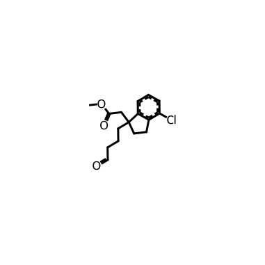 COC(=O)CC1(CCCC=O)CCc2c(Cl)cccc21